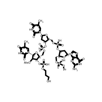 COC1[C@@H](OP(=O)(S)OCCCO)[C@@H](COP(=O)(S)O[C@@H]2C[C@H](n3cc(C)c(=O)[nH]c3=O)O[C@@H]2COP(=O)(S)O[C@@H]2C[C@H](n3cnc4c(=O)[nH]c(N)nc43)O[C@@H]2COP(=S)(S)OC(C)C)O[C@H]1n1cc(C)c(=O)[nH]c1=O